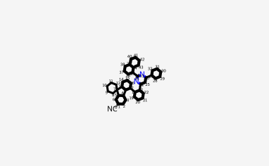 N#Cc1ccc2c(c1)C1(CCCCC1)c1cccc(-c3ccccc3-c3cc(-c4ccccc4)nc(-c4cccc5ccccc45)n3)c1-2